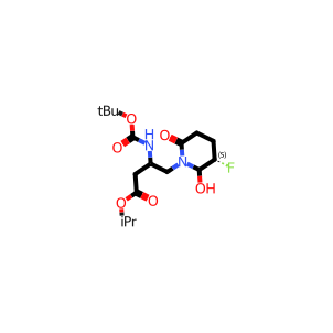 CC(C)OC(=O)CC(CN1C(=O)CC[C@H](F)C1O)NC(=O)OC(C)(C)C